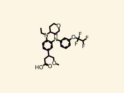 CCN(c1ccc(C(COC)CC(=O)O)cc1Nc1cccc(OC(F)(F)C(F)F)c1)C1CCOCC1